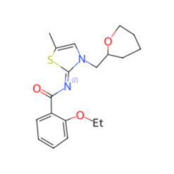 CCOc1ccccc1C(=O)/N=c1\sc(C)cn1CC1CCCCO1